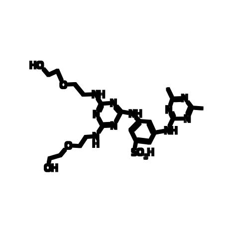 Cc1nc(C)nc(Nc2cc(Nc3nc(NCCOCCO)nc(NCCOCCO)n3)cc(S(=O)(=O)O)c2)n1